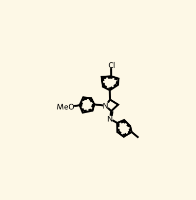 COc1ccc(N2/C(=N/c3ccc(C)cc3)CC2c2ccc(Cl)cc2)cc1